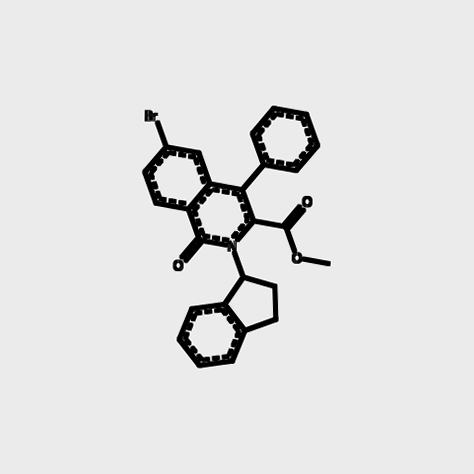 COC(=O)c1c(-c2ccccc2)c2cc(Br)ccc2c(=O)n1C1CCc2ccccc21